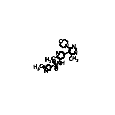 Cc1ncc(-c2c(C)ncnc2N2CCOCC2)cc1NS(=O)(=O)c1cnn(C)c1